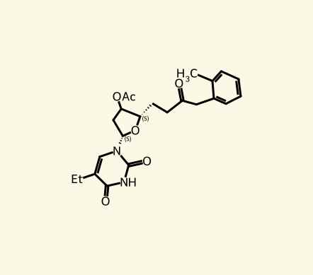 CCc1cn([C@@H]2CC(OC(C)=O)[C@H](CCC(=O)Cc3ccccc3C)O2)c(=O)[nH]c1=O